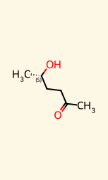 CC(=O)CC[C@H](C)O